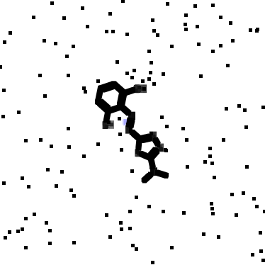 CN(C)c1nnc(/N=N/c2c(O)cccc2S)s1